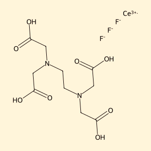 O=C(O)CN(CCN(CC(=O)O)CC(=O)O)CC(=O)O.[Ce+3].[F-].[F-].[F-]